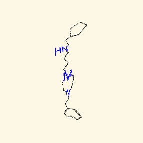 c1ccc(CCN2CCN(CCCCNCCC3CCCC3)CC2)cc1